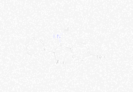 CCCNC(=C(c1ccccc1)C(C)CCC)c1ccc([N+](=O)[O-])cc1